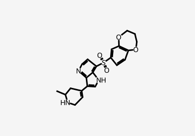 CC1CC(c2c[nH]c3c(S(=O)(=O)c4ccc5c(c4)OCCCO5)ccnc23)=CCN1